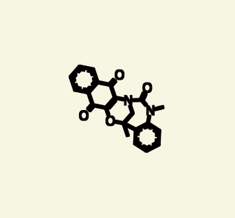 CN1C(=O)N2CC(C)(OC3=C2C(=O)c2ccccc2C3=O)c2ccccc21